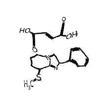 CSC1CCCN2CC(c3ccccc3)N=C12.O=C(O)/C=C/C(=O)O